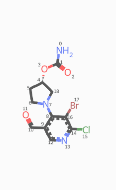 NC(=O)O[C@H]1CCN(c2c(C=O)cnc(Cl)c2Br)C1